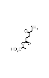 CC(OC(=O)CCC(=O)CN)C(=O)O